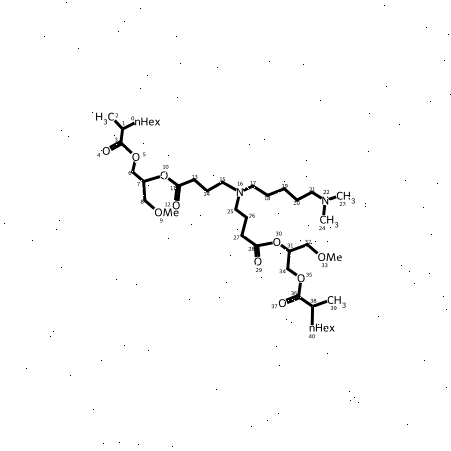 CCCCCCC(C)C(=O)OCC(COC)OC(=O)CCCN(CCCCCN(C)C)CCCC(=O)OC(COC)COC(=O)C(C)CCCCCC